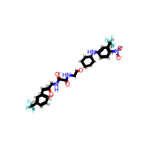 O=C(NCCO[C@H]1CC[C@H](Nc2ccc([N+](=O)[O-])c(C(F)(F)F)c2)CC1)C(=O)NCc1cc2cc(C(F)(F)F)ccc2o1